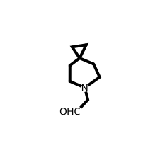 O=CCN1CCC2(CC1)CC2